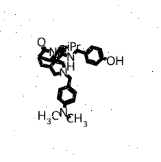 CC(C)CC1C2CC3CN(Cc4ccc(N(C)C)cc4)C1C3(C(=O)NCc1ccc(O)cc1)NC2=O